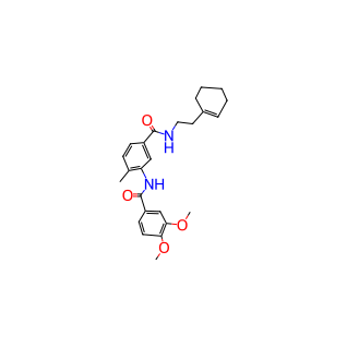 COc1ccc(C(=O)Nc2cc(C(=O)NCCC3=CCCCC3)ccc2C)cc1OC